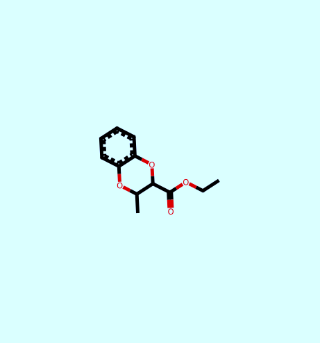 CCOC(=O)C1Oc2ccccc2OC1C